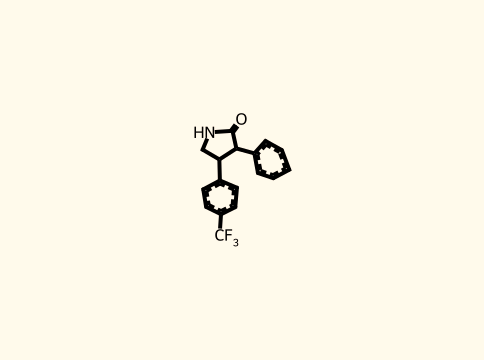 O=C1NCC(c2ccc(C(F)(F)F)cc2)C1c1ccccc1